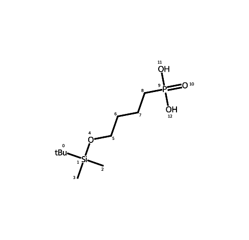 CC(C)(C)[Si](C)(C)OCCCCP(=O)(O)O